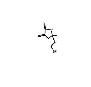 C=C1CC(C)(CCO)OC1=O